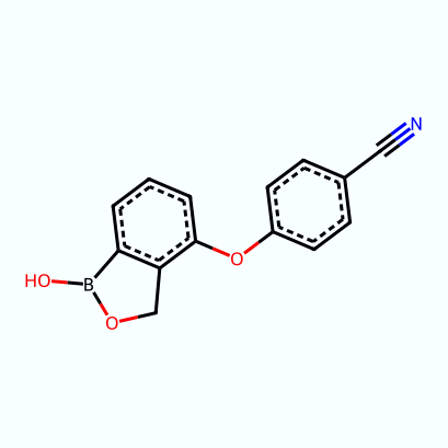 N#Cc1ccc(Oc2cccc3c2COB3O)cc1